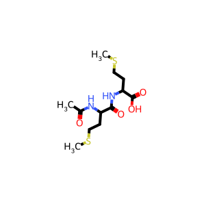 CSCCC(NC(=O)C(CCSC)NC(C)=O)C(=O)O